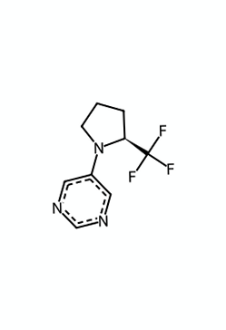 FC(F)(F)[C@@H]1CCCN1c1cncnc1